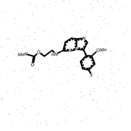 CNC(=O)OCCNc1ccc2ncc(-c3ccc(F)cc3OC)n2n1